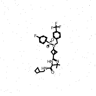 CC1(C)N=C(C23CC(N(Cc4ccc(C(F)(F)F)cc4)S(=O)(=O)c4ccc(F)cc4)(C2)C3)NC1C(=O)NCC1CCC1